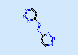 c1cc(N=Nc2ccnnn2)nnn1